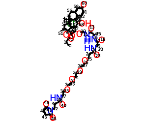 CCC(=O)O[C@]1(C(=O)COCNC(=O)[C@H](C)NC(=O)[C@H](C)NC(=O)CCOCCOCCOCCOCCNC(=O)CCN2C(=O)C=CC2=O)[C@@H](C)CC2[C@@H]3CCC4=CC(=O)C=C[C@]4(C)[C@@]3(Cl)[C@@H](O)C[C@@]21C